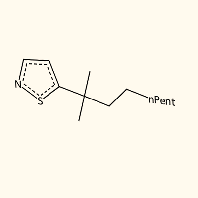 CCCCCCCC(C)(C)c1ccns1